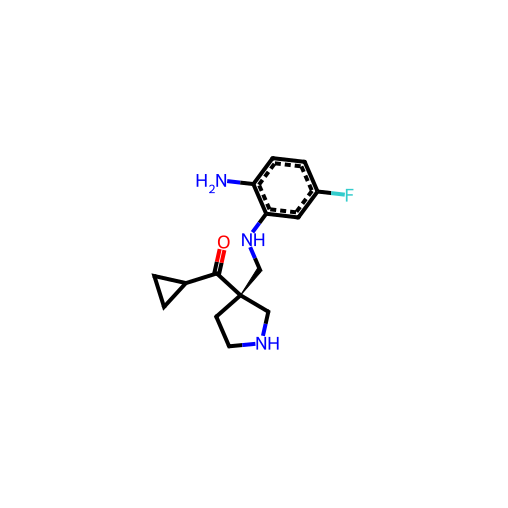 Nc1ccc(F)cc1NC[C@]1(C(=O)C2CC2)CCNC1